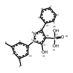 Cc1cc(C)cc(-n2nc(-c3ccccc3)c(P(=O)(O)O)c2O)c1